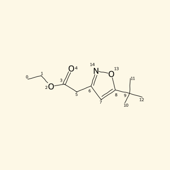 CCOC(=O)Cc1cc(C(C)(C)C)on1